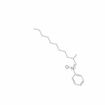 CCCCCCCCCC(C)/C=[N+](\[O-])c1ccccc1